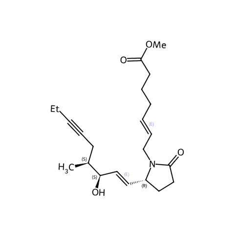 CCC#CC[C@H](C)[C@H](O)/C=C/[C@H]1CCC(=O)N1C/C=C/CCCC(=O)OC